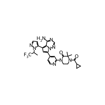 CC(n1nccc1-c1cc(-c2ccnc(N3CCN(C(=O)C4CC4)C(C)(C)C3=O)c2)n2ncnc(N)c12)C(F)(F)F